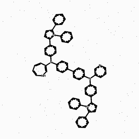 C1=CNC=C(N(c2ccc(-c3ccc(N(c4ccc(-c5ccc(-c6ccccc6)n5-c5ccccc5)cc4)c4cccnc4)cc3)cc2)c2ccc(-c3ccc(-c4ccccc4)n3-c3ccccc3)cc2)C=C1